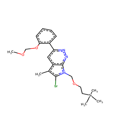 COCOc1ccccc1-c1cc2c(C)c(Br)n(COCC[Si](C)(C)C)c2nn1